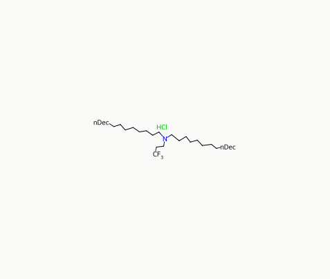 CCCCCCCCCCCCCCCCCCN(CCCCCCCCCCCCCCCCCC)CCC(F)(F)F.Cl